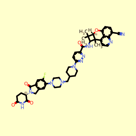 CC1(C)C(NC(=O)c2ccc(N3CCC(CN4CCN(c5cc6c(cc5F)C(=O)N([C@H]5CCC(=O)NC5=O)C6)CC4)CC3)nn2)C2(C)c3ccnc4c(C#N)ccc(c34)O[C@@H]12